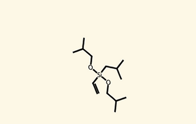 C=C[Si](CC(C)C)(OCC(C)C)OCC(C)C